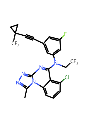 Cc1nnc2nc(N(CC(F)(F)F)c3cc(F)cc(C#CC4(C(F)(F)F)CC4)c3)c3c(Cl)cccc3n12